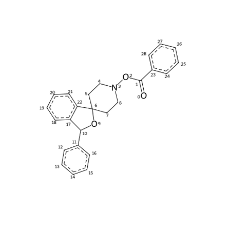 O=C(ON1CCC2(CC1)OC(c1ccccc1)c1ccccc12)c1ccccc1